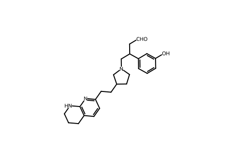 O=CCC(CN1CCC(CCc2ccc3c(n2)NCCC3)C1)c1cccc(O)c1